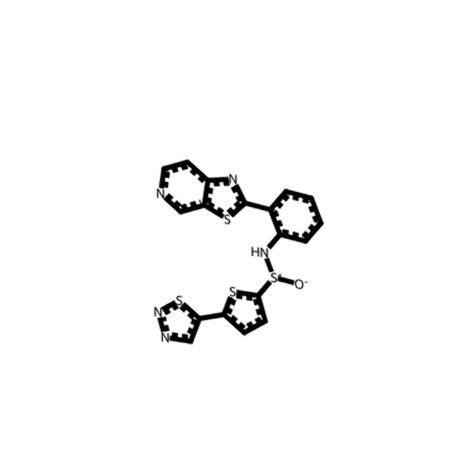 [O-][S+](Nc1ccccc1-c1nc2ccncc2s1)c1ccc(-c2cnns2)s1